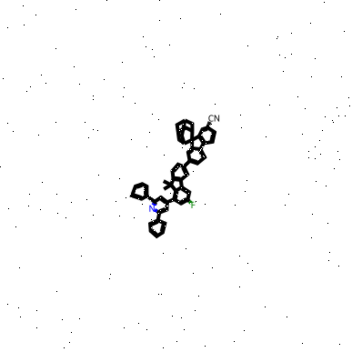 CC1(C)c2ccc(-c3ccc4c(c3)C3(c5cc(C#N)ccc5-4)C4CC5CC(C4)CC3C5)cc2-c2cc(F)cc(-c3cc(-c4ccccc4)nc(-c4ccccc4)c3)c21